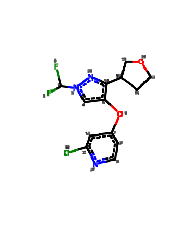 FC(F)n1cc(Oc2ccnc(Cl)c2)c(C2CCOC2)n1